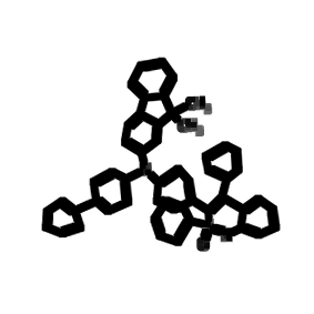 CC1(C)c2ccccc2-c2ccc(N(c3ccc(C4=C(c5ccccc5)c5ccccc5N=S4(=O)c4ccccc4)cc3)c3ccc(-c4ccccc4)cc3)cc21